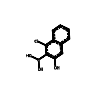 OB(O)c1c(O)cc2ccccc2c1Cl